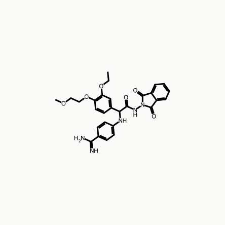 CCOc1cc(C(Nc2ccc(C(=N)N)cc2)C(=O)NN2C(=O)c3ccccc3C2=O)ccc1OCCOC